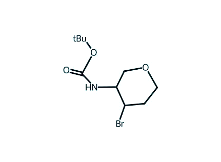 CC(C)(C)OC(=O)NC1COCCC1Br